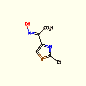 CCc1nc(/C(=N/O)C(=O)O)cs1